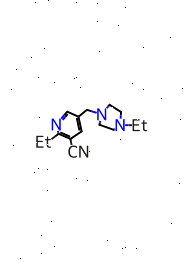 CCc1ncc(CN2CCN(CC)CC2)cc1C#N